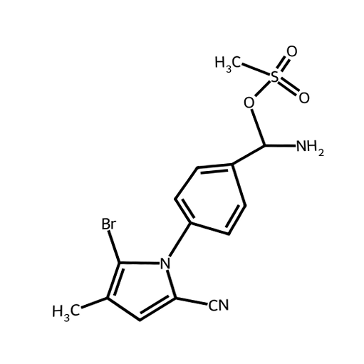 Cc1cc(C#N)n(-c2ccc(C(N)OS(C)(=O)=O)cc2)c1Br